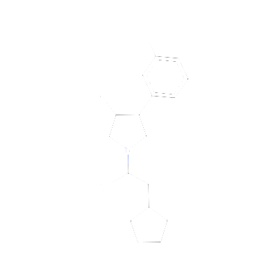 O=CC1CN(C(CC2CCCC2)C(=O)O)CC1c1cccc(F)c1